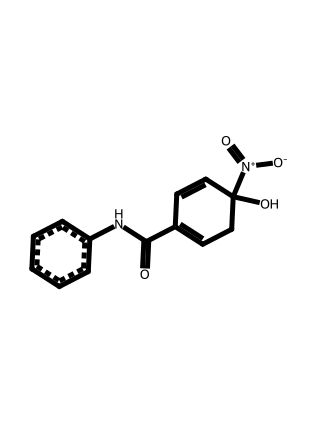 O=C(Nc1ccccc1)C1=CCC(O)([N+](=O)[O-])C=C1